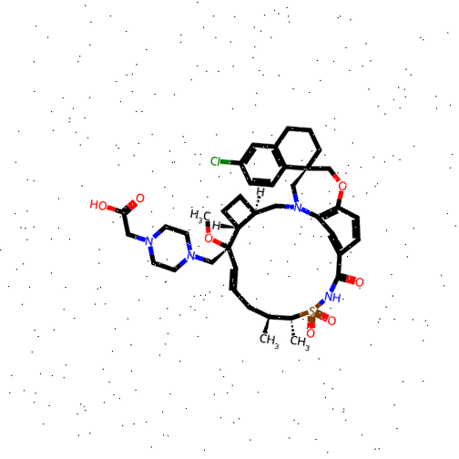 CO[C@@]1(CN2CCN(CC(=O)O)CC2)/C=C/C[C@H](C)[C@@H](C)S(=O)(=O)NC(=O)c2ccc3c(c2)N(C[C@@H]2CC[C@H]21)C[C@@]1(CCCc2cc(Cl)ccc21)CO3